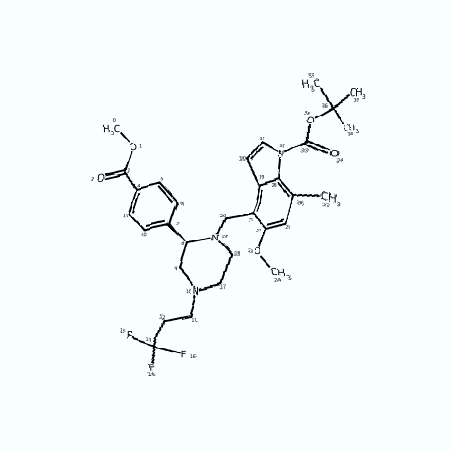 COC(=O)c1ccc([C@@H]2CN(CCC(F)(F)F)CCN2Cc2c(OC)cc(C)c3c2ccn3C(=O)OC(C)(C)C)cc1